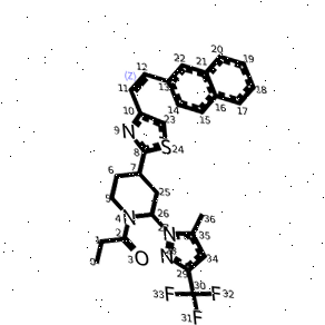 CCC(=O)N1CCC(c2nc(/C=C\c3ccc4ccccc4c3)cs2)CC1n1nc(C(F)(F)F)cc1C